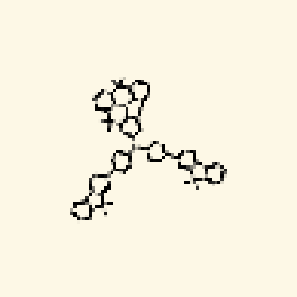 CC1(C)c2ccccc2-c2ccc(-c3ccc(N(c4ccc(-c5ccc6c(c5)C(C)(C)c5ccccc5-6)cc4)c4cc5c6c(c4)c4cccc7c4n6-c4c(cccc4C5(C)C)C7(C)C)cc3)cc21